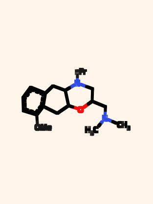 CCCN1CC(CN(C)C)OC2Cc3c(cccc3OC)CC21